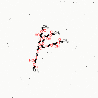 C=CC(=O)OCC(O)COCCOCC(COCCOCC(O)COC(=O)C=C)OC(COCCOCC(O)COC(=O)C=C)COCCOCC(O)COC(=O)C=C